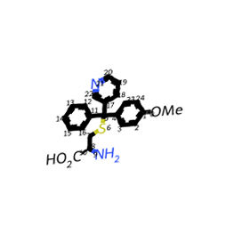 COc1ccc(C(SC[C@@H](N)C(=O)O)(c2ccccc2)c2cccnc2)cc1